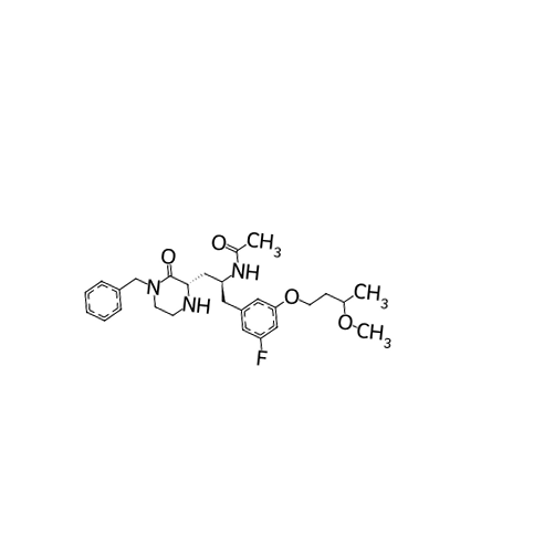 COC(C)CCOc1cc(F)cc(C[C@@H](C[C@@H]2NCCN(Cc3ccccc3)C2=O)NC(C)=O)c1